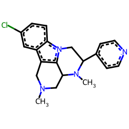 CN1Cc2c3n(c4ccc(Cl)cc24)CC(c2ccncc2)N(C)C3C1